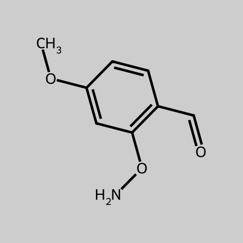 COc1ccc(C=O)c(ON)c1